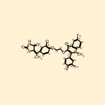 C/C(=C1\SC(=O)NC1=O)c1ccc(OCCOc2c(-c3ccc(F)c(F)c3)n(C)c3ccc(F)cc3c2=O)c(Cl)c1